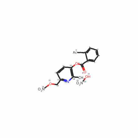 CC(=O)c1ccccc1C(=O)Oc1ccc(CO[N+](=O)[O-])nc1C.O=[N+]([O-])O